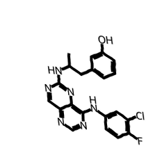 CC(Cc1cccc(O)c1)Nc1ncc2ncnc(Nc3ccc(F)c(Cl)c3)c2n1